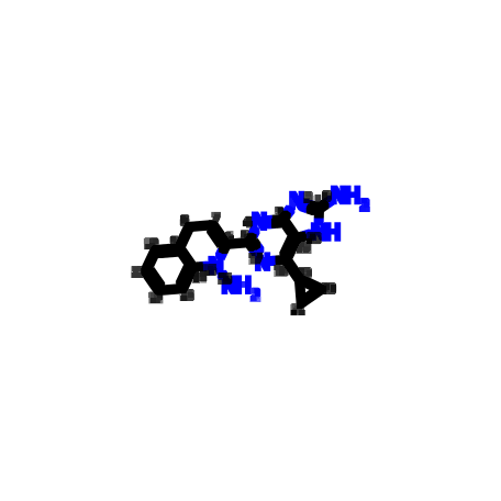 Nc1nc2nc(C3=CCc4ccccc4N3N)nc(C3CC3)c2[nH]1